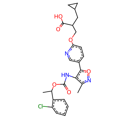 Cc1noc(-c2ccc(OCC(CC3CC3)C(=O)O)nc2)c1NC(=O)OC(C)c1ccccc1Cl